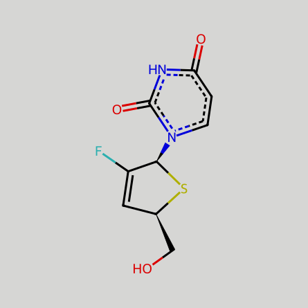 O=c1ccn([C@H]2S[C@@H](CO)C=C2F)c(=O)[nH]1